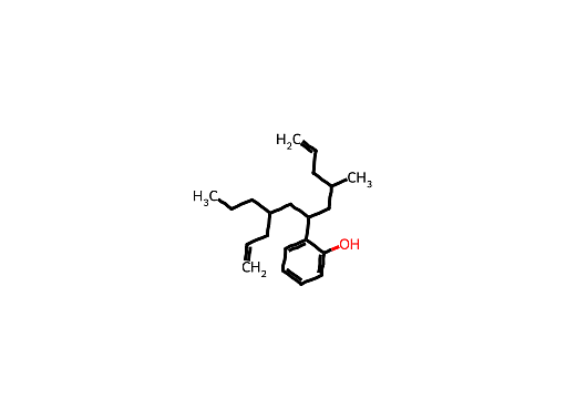 C=CCC(C)CC(CC(CC=C)CCC)c1ccccc1O